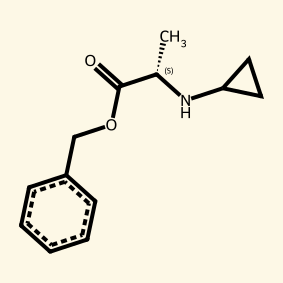 C[C@H](NC1CC1)C(=O)OCc1ccccc1